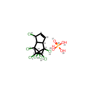 ClC1=C(Cl)C2(Cl)C3C(Cl)C=CC3C1(Cl)C2(Cl)Cl.O=P(O)(O)O